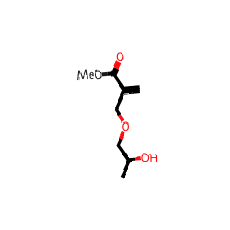 C=C(COCC(C)O)C(=O)OC